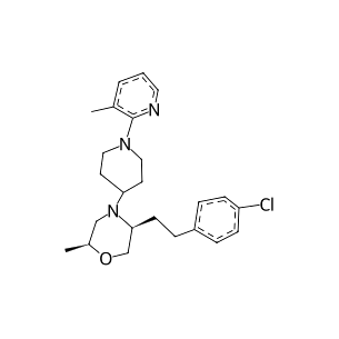 Cc1cccnc1N1CCC(N2C[C@H](C)OC[C@@H]2CCc2ccc(Cl)cc2)CC1